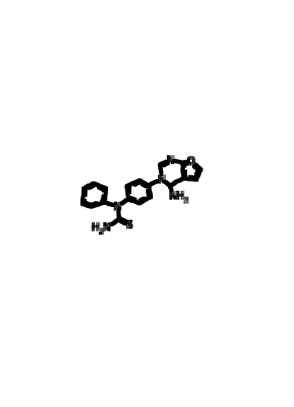 NC(=S)N(c1ccccc1)c1ccc(N2C=Nc3occc3C2N)cc1